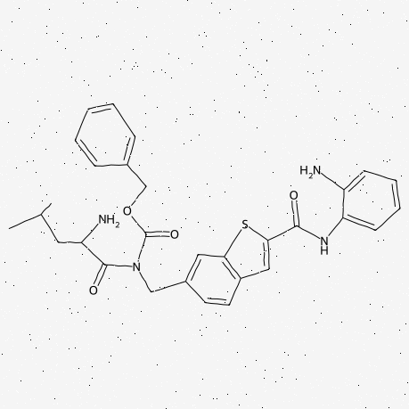 CC(C)CC(N)C(=O)N(Cc1ccc2cc(C(=O)Nc3ccccc3N)sc2c1)C(=O)OCc1ccccc1